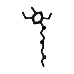 CCOCCOCCOc1cc(CC)c(C)cc1CC